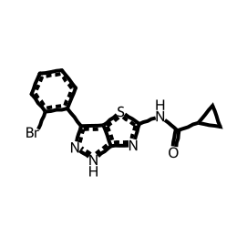 O=C(Nc1nc2[nH]nc(-c3ccccc3Br)c2s1)C1CC1